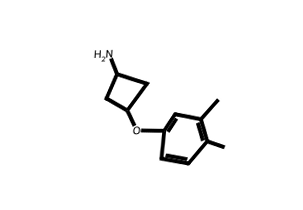 Cc1ccc(OC2CC(N)C2)cc1C